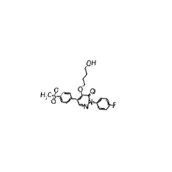 CS(=O)(=O)c1ccc(-c2cnn(-c3ccc(F)cc3)c(=O)c2OCCCCO)cc1